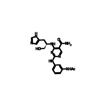 CC(=O)Nc1cccc(Nc2ncc(C(N)=O)c(N[C@H](CO)Cc3cnc[nH]3)n2)c1